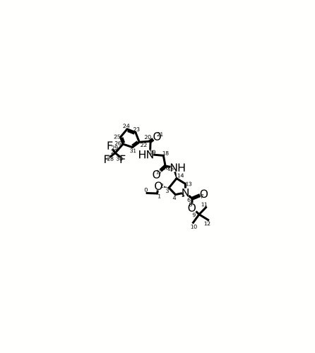 CCO[C@H]1CN(C(=O)OC(C)(C)C)C[C@@H]1NC(=O)CNC(=O)c1cccc(C(F)(F)F)c1